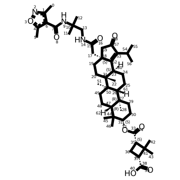 Cc1noc(C)c1C(=O)NC(C)(C)CNC(=O)C[C@@]12CC[C@]3(C)[C@H](CC[C@@H]4[C@@]5(C)CC[C@H](OC(=O)[C@H]6C[C@@H](C(=O)O)C6(C)C)C(C)(C)[C@@H]5CC[C@]43C)C1=C(C(C)C)C(=O)C2